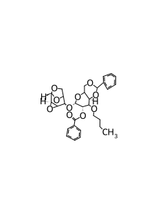 CCCCOC1[C@@H]2OC(c3ccccc3)OCC2O[C@@H](O[C@@H]2C3CO[C@H](O3)[C@@H]3OC23)[C@H]1OC(=O)c1ccccc1